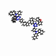 c1ccc(-c2nc(-c3ccc(-c4ccc5ccc(-c6cc(-c7nc(-c8cccc(-n9c%10cc%11ccccc%11cc%10c%10c%11ccccc%11ccc%109)c8)nc(-c8cccc9oc%10ccccc%10c89)n7)cc7ccccc67)cc5c4)cc3)nc(-c3ccccc3-n3c4cc5ccccc5cc4c4c5ccccc5ccc43)n2)cc1